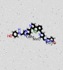 COc1nc(-c2cccc(-c3ccnc(-c4cc(OC)c5nc(CNC6CCC(O)CC6)cn5c4)c3Cl)c2Cl)ccc1CN(CC1CCC(=O)N1)C(=O)O